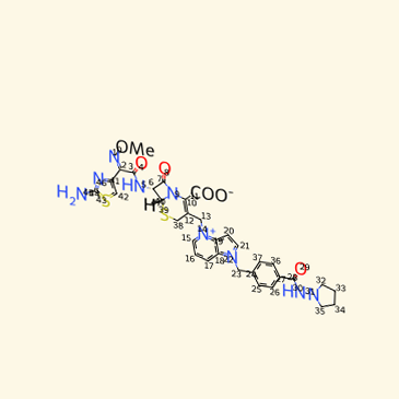 CO/N=C(\C(=O)N[C@@H]1C(=O)N2C(C(=O)[O-])=C(C[n+]3cccc4c3ccn4Cc3ccc(C(=O)NN4CCCC4)cc3)CS[C@H]12)c1csc(N)n1